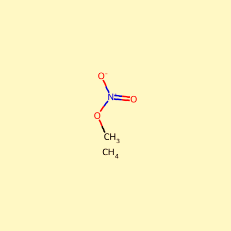 C.CO[N+](=O)[O-]